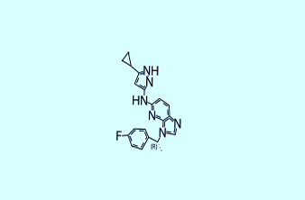 C[C@H](c1ccc(F)cc1)n1cnc2ccc(Nc3cc(C4CC4)[nH]n3)nc21